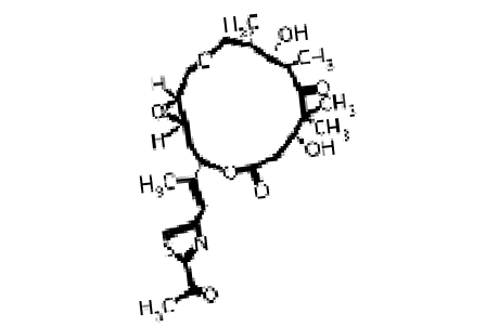 CC(=O)c1nc(C=C(C)[C@@H]2C[C@@H]3O[C@@H]3CCC[C@H](C)[C@H](O)[C@@H](C)C(=O)C(C)(C)[C@@H](O)CC(=O)O2)cs1